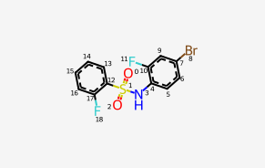 O=S(=O)(Nc1ccc(Br)cc1F)c1ccccc1F